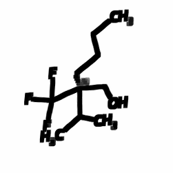 CCCC[C@](CO)(C(C)C)C(F)(F)F